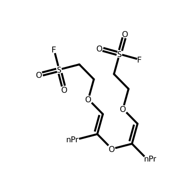 CCCC(=COCCS(=O)(=O)F)OC(=COCCS(=O)(=O)F)CCC